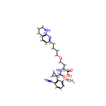 COc1cccc(C#N)c1C1(C(=O)N[C@@H](CCOCCCCc2ccc3c(n2)NCCC3)C(=O)O)CC1